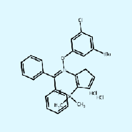 CC(C)(C)c1cc(Cl)cc([O][Ti]([C]2=C([Si](C)(C)C)C=CC2)=[C](c2ccccc2)c2ccccc2)c1.Cl.Cl